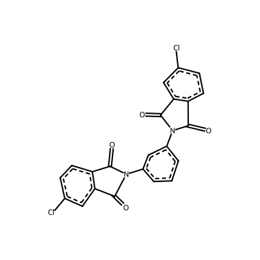 O=C1c2ccc(Cl)cc2C(=O)N1c1cccc(N2C(=O)c3ccc(Cl)cc3C2=O)c1